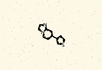 c1cn2ccc(-c3ccsc3)cc2n1